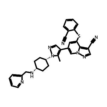 Cc1c(-c2cc(Sc3ccccc3C#N)c3c(C#N)cnn3c2)cnn1[C@H]1CC[C@@H](NCc2ccccn2)CC1